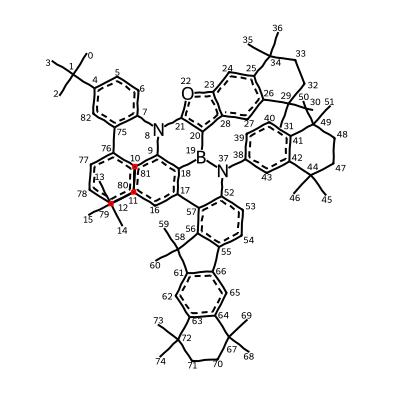 CC(C)(C)c1ccc(N2c3cc(C(C)(C)C)cc4c3B(c3c2oc2cc5c(cc32)C(C)(C)CCC5(C)C)N(c2ccc3c(c2)C(C)(C)CCC3(C)C)c2ccc3c(c2-4)C(C)(C)c2cc4c(cc2-3)C(C)(C)CCC4(C)C)c(-c2ccccc2)c1